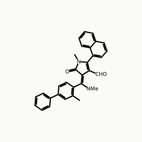 CN/C(=C1/C(=O)N(C)C(c2cccc3ccccc23)=C1C=O)c1ccc(-c2ccccc2)cc1C